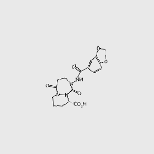 O=C(NN1CCC(=O)N2CCC[C@@H](C(=O)O)N2C1=O)c1ccc2c(c1)OCO2